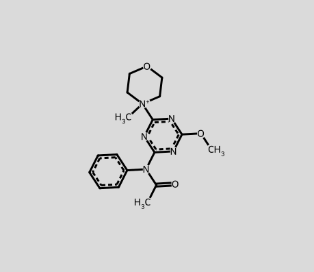 COc1nc(N(C(C)=O)c2ccccc2)nc([N+]2(C)CCOCC2)n1